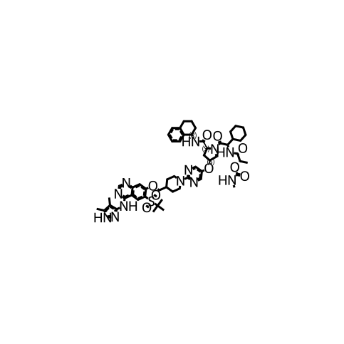 CNC(=O)OC(C)C(=O)NC(C(=O)N1C[C@@H](Oc2cnc(N3CCC(COc4cc5ncnc(Nc6n[nH]c(C)c6C)c5cc4S(=O)(=O)C(C)(C)C)CC3)nc2)C[C@H]1C(=O)N[C@@H]1CCCc2ccccc21)C1CCCCC1